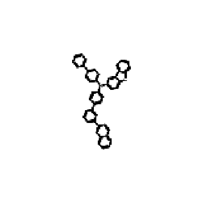 c1ccc(-c2ccc(N(c3ccc(-c4cccc(-c5ccc6ccccc6c5)c4)cc3)c3ccc4oc5ccccc5c4c3)cc2)cc1